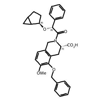 COc1ccc2c(c1OCc1ccccc1)C[C@@H](C(=O)O)N(C(=O)[C@H](O[C@@H]1CCC3CC31)c1ccccc1)C2